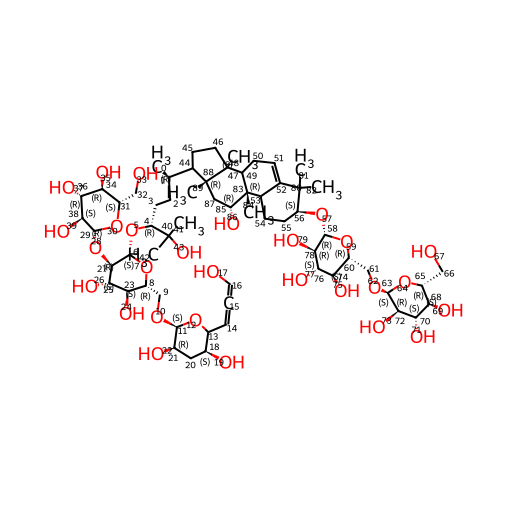 C[C@H](CC[C@@H](O[C@@H]1O[C@H](CO[C@H]2OC(C=C=CO)[C@@H](O)C[C@H]2O)[C@@H](O)[C@H](O)[C@H]1O[C@H]1O[C@@H](CO)[C@H](O)[C@@H](O)[C@@H]1O)C(C)(C)O)C1CC[C@@]2(C)C3CC=C4C(CC[C@H](O[C@@H]5O[C@H](CO[C@H]6O[C@H](CO)[C@@H](O)[C@H](O)[C@H]6O)[C@@H](O)[C@H](O)[C@H]5O)C4(C)C)[C@]3(C)[C@H](O)C[C@]12C